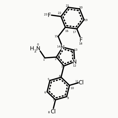 NCc1c(-c2ccc(Cl)cc2Cl)ncn1Cc1c(F)cccc1F